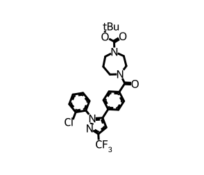 CC(C)(C)OC(=O)N1CCCN(C(=O)c2ccc(-c3cc(C(F)(F)F)nn3-c3ccccc3Cl)cc2)CC1